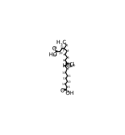 CCC(CCCCCCCCCCCCCC(=O)O)CCC(=O)O.Cl.Cl